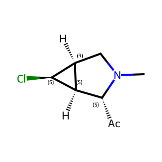 CC(=O)[C@@H]1[C@H]2[C@@H](Cl)[C@H]2CN1C